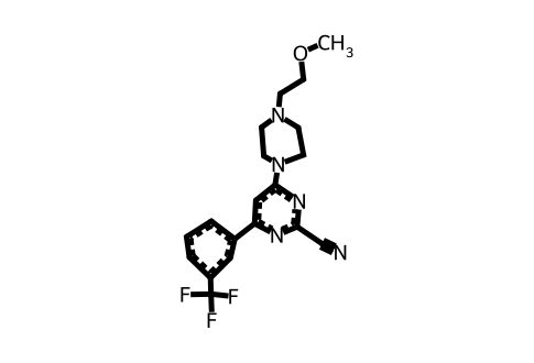 COCCN1CCN(c2cc(-c3cccc(C(F)(F)F)c3)nc(C#N)n2)CC1